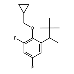 CC(c1cc(F)cc(F)c1OCC1CC1)C(C)(C)C